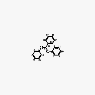 c1ccc(OC(Oc2ccccc2)c2ccccc2)cc1